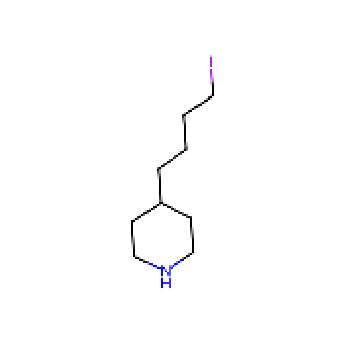 ICCCCC1CCNCC1